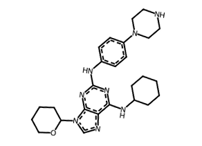 c1cc(N2CCNCC2)ccc1Nc1nc(NC2CCCCC2)c2ncn(C3CCCCO3)c2n1